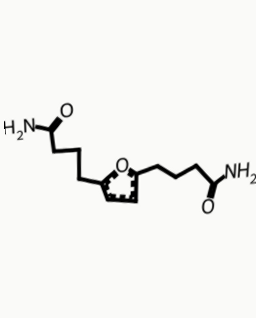 NC(=O)CCCc1ccc(CCCC(N)=O)o1